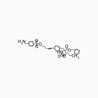 CCCCC(Cc1ccc(C#CCCCOS(=O)(=O)c2ccc(CN)cc2)cc1)(N[SH](=O)=O)C(=O)OCc1ccccc1